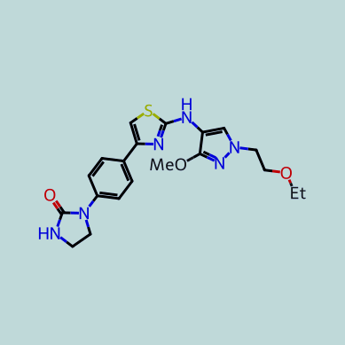 CCOCCn1cc(Nc2nc(-c3ccc(N4CCNC4=O)cc3)cs2)c(OC)n1